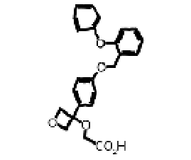 O=C(O)COC1(c2ccc(OCc3ccccc3Oc3ccccc3)cc2)COC1